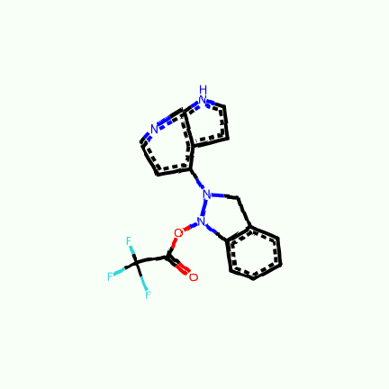 O=C(ON1c2ccccc2CN1c1ccnc2[nH]ccc12)C(F)(F)F